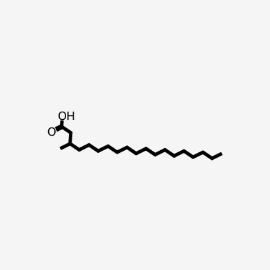 CCCCCCCCCCCCCCCCC(C)CC(=O)O